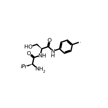 [CH2]c1ccc(NC(=O)[C@H](CO)NC(=O)[C@@H](N)C(C)C)cc1